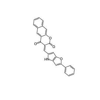 O=C1Oc2cc3ccccc3cc2C(=O)/C1=C/c1cc2oc(-c3ccccc3)cc2[nH]1